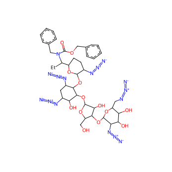 CCC(C1CCC(N=[N+]=[N-])C(OC2C(N=[N+]=[N-])CC(N=[N+]=[N-])C(O)C2OC2OC(CO)C(OC3OC(CN=[N+]=[N-])C(O)C(O)C3N=[N+]=[N-])C2O)O1)N(Cc1ccccc1)C(=O)OCc1ccccc1